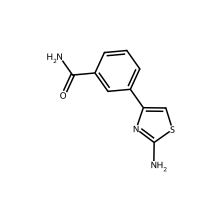 NC(=O)c1cccc(-c2csc(N)n2)c1